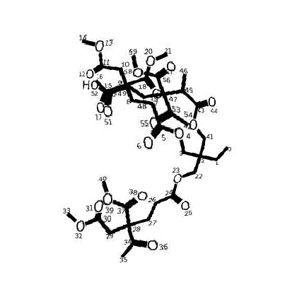 CCC(COC(=O)CCC(CC(=O)OC)(C(C)=O)C(=O)OC)(COC(=O)CCC(CC(=O)OC)(C(C)=O)C(=O)OC)COC(=O)C(C)C(CCC(=O)O)(C(C)=O)C(=O)OC